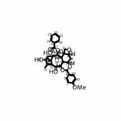 COc1ccc(C2O[C@H]3C[C@H]4OC[C@@]4(OC(C)=O)[C@H]4[C@H](OC(=O)c5ccccc5)[C@]5(O)C[C@H](O)C(C)=C([C@@H](O)[C@H](O2)[C@]34C)C5(C)C)cc1